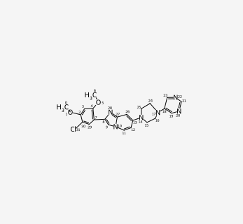 COc1cc(OC)c(-c2cn3ccc(N4CCN(c5cncnc5)CC4)cc3n2)cc1Cl